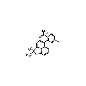 CC1(C)Cc2cccc3c(-c4cc(F)ccc4C(N)=O)ccc1c23